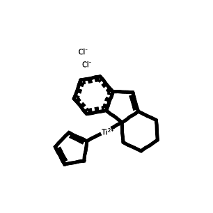 C1=CC[C]([Ti+2][C]23CCCCC2=Cc2ccccc23)=C1.[Cl-].[Cl-]